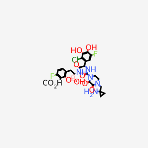 NC1(CN2CCN(C(=O)N[C@@H](C(=O)N[C@H]3Cc4ccc(F)c(C(=O)O)c4OB3O)c3cc(F)c(O)c(O)c3Cl)C(=O)C2=O)CC1